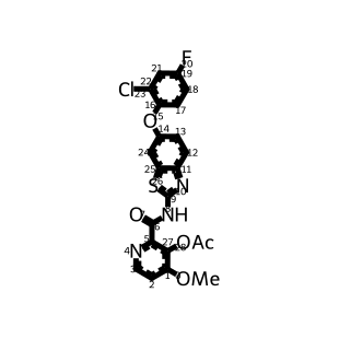 COc1ccnc(C(=O)Nc2nc3ccc(Oc4ccc(F)cc4Cl)cc3s2)c1OC(C)=O